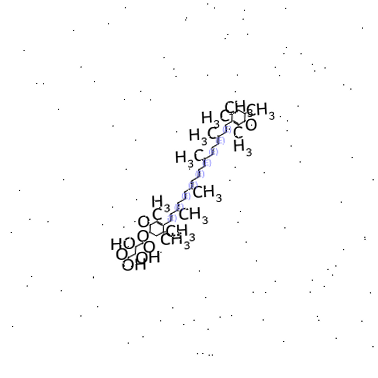 CC1=C(/C=C/C(C)=C/C=C/C(C)=C/C=C/C=C(C)/C=C/C=C(C)/C=C/C2=C(C)C(=O)C(OC(=O)C(O)C(O)C(=O)O)CC2(C)C)C(C)(C)CC(C)C1=O